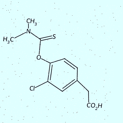 CN(C)C(=S)Oc1ccc(CC(=O)O)cc1Cl